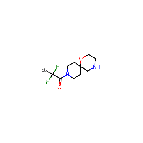 CCC(F)(F)C(=O)N1CCC2(CC1)CNCCO2